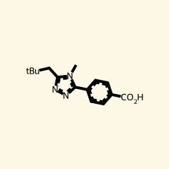 Cn1c(CC(C)(C)C)nnc1-c1ccc(C(=O)O)cc1